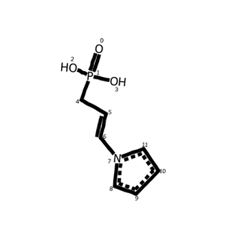 O=P(O)(O)CC=Cn1cccc1